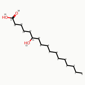 CCCCCCCCCCCC(O)CCCCC(=O)O